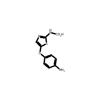 Nc1ccc(Oc2cnc(NC(=O)O)s2)cc1